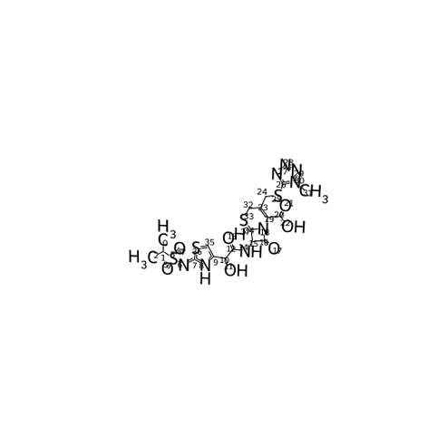 CC(C)S(=O)(=O)/N=c1/[nH]c(C(O)C(=O)NC2C(=O)N3C(C(=O)O)=C(CSc4nnnn4C)CS[C@H]23)cs1